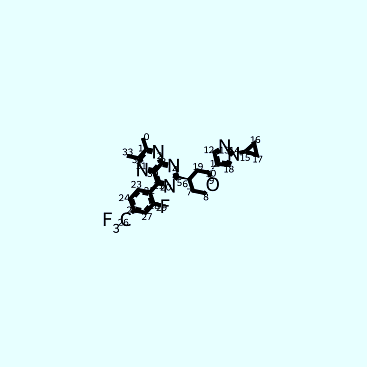 Cc1nc2nc([C@@H]3CCO[C@@H](c4cnn(C5CC5)c4)C3)nc(-c3ccc(C(F)(F)F)cc3F)c2nc1C